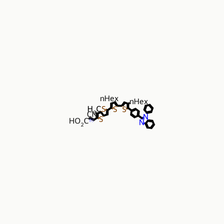 CCCCCCc1cc(-c2sc(C3=CC4SC(/C=C(\C#N)C(=O)O)=CC4(C)S3)cc2CCCCCC)sc1-c1ccc(-c2nc3ccccc3n2-c2ccccc2)cc1